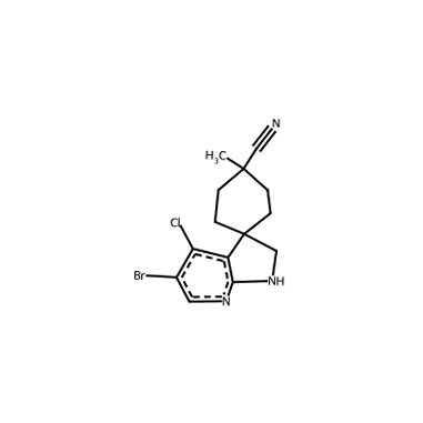 CC1(C#N)CCC2(CC1)CNc1ncc(Br)c(Cl)c12